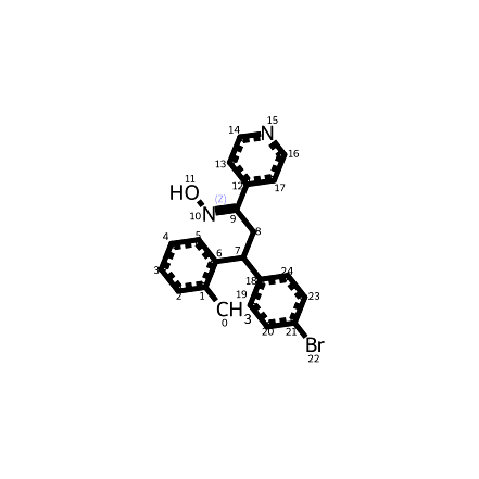 Cc1ccccc1C(C/C(=N/O)c1ccncc1)c1ccc(Br)cc1